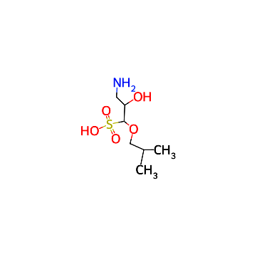 CC(C)COC(C(O)CN)S(=O)(=O)O